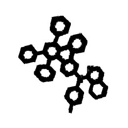 Cc1ccc(N(c2ccc3c(c2)c2ccccc2c2c(-c4ccccc4)cc(-c4ccccc4)c(-c4ccccc4)c32)c2nccc3c2CCC=C3)cc1